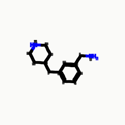 NCc1cccc(CC2CCNCC2)c1